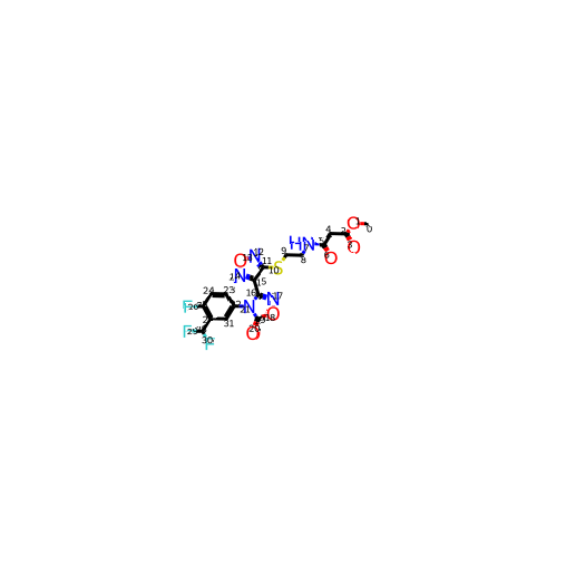 COC(=O)CC(=O)NCCSc1nonc1-c1noc(=O)n1-c1ccc(F)c(C(F)F)c1